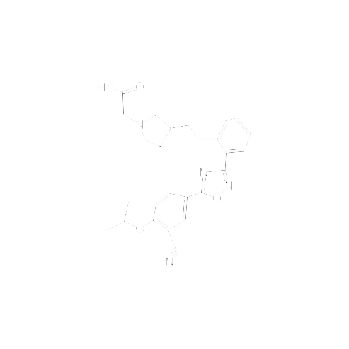 CC(C)Oc1ccc(-c2nc(-c3ccccc3CCC3CCN(CC(=O)O)C3)no2)cc1C#N